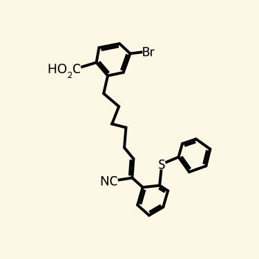 N#C/C(=C\CCCCCc1cc(Br)ccc1C(=O)O)c1ccccc1Sc1ccccc1